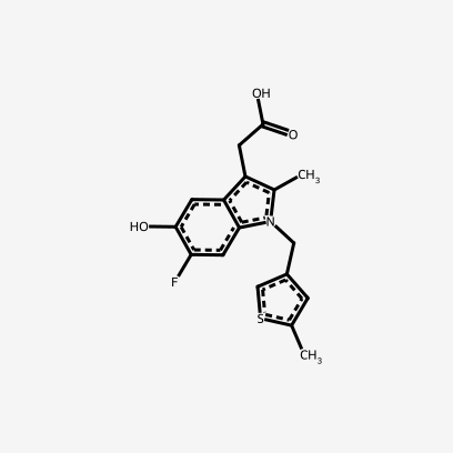 Cc1cc(Cn2c(C)c(CC(=O)O)c3cc(O)c(F)cc32)cs1